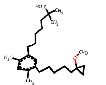 Cc1cc(C)c(CCCCCC(C)(C)C(=O)O)cc1CCCCCC1(OC=O)CC1